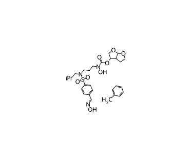 CC(C)CN(CCCN(O)C(=O)OC1COC2OCCC12)S(=O)(=O)c1ccc(C=NO)cc1.Cc1ccccc1